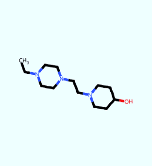 CCN1CCN(CCN2CCC(O)CC2)CC1